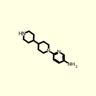 Nc1ccc(N2CCC(C3CCNCC3)CC2)nc1